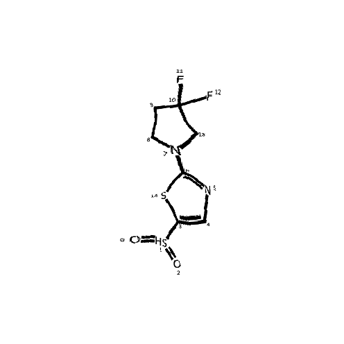 O=[SH](=O)c1cnc(N2CCC(F)(F)C2)s1